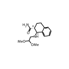 COC(CN[C@@H]1c2ccccc2CC[C@H]1C(N)=O)OC